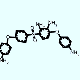 Nc1ccc(Oc2ccc(S(=O)(=O)c3ccc(Oc4ccc(N)cc4)c(N)c3N)cc2)cc1